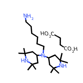 CC1(C)CC(N(CCCCCCN)C2CC(C)(C)NC(C)(C)C2)CC(C)(C)N1.O=C(O)CCC(=O)O